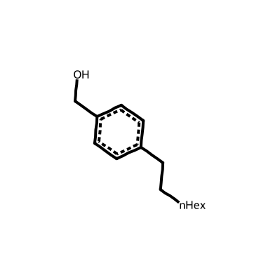 CCCCCCCCc1ccc(CO)cc1